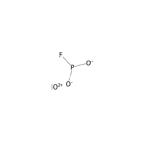 [O+2].[O-]P([O-])F